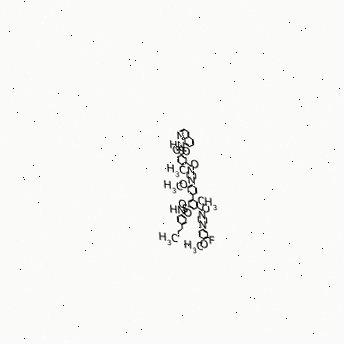 CCCCc1ccc(NS(=O)(=O)c2cc(C(=O)N3CCN(c4ccc(OC)c(F)c4)CC3)c(C)c(-c3ccc(N4CCN(C(=O)c5cc(S(=O)(=O)Nc6cccc7cccnc67)ccc5C)CC4)c(OC)c3)c2)cc1